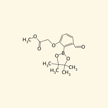 COC(=O)COc1cccc(C=O)c1B1OC(C)(C)C(C)(C)O1